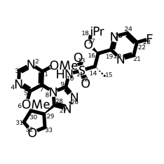 COc1ncnc(OC)c1-n1c(NS(=O)(=O)[C@@H](C)[C@@H](OC(C)C)c2ncc(F)cn2)nnc1[C@@H]1CCOC1